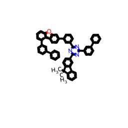 CC1(C)c2ccccc2-c2cc(-c3nc(-c4cccc(-c5ccccc5)c4)nc(-c4cccc(-c5ccc6c(c5)oc5cccc(-c7cccc(-c8ccccc8)c7)c56)c4)n3)ccc21